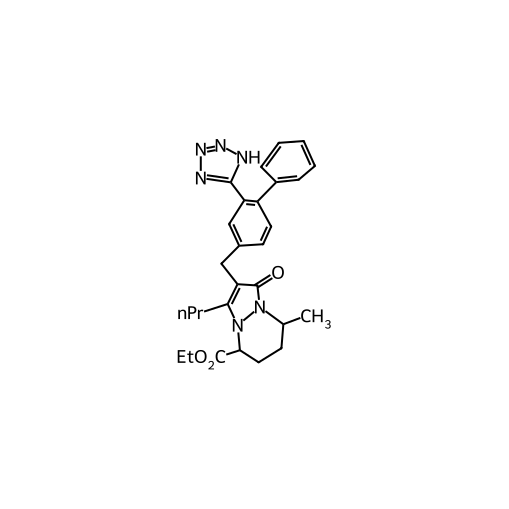 CCCc1c(Cc2ccc(-c3ccccc3)c(-c3nnn[nH]3)c2)c(=O)n2n1C(C(=O)OCC)CCC2C